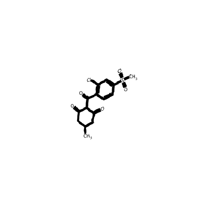 CC1CC(=O)C(C(=O)c2ccc(S(C)(=O)=O)cc2Cl)C(=O)C1